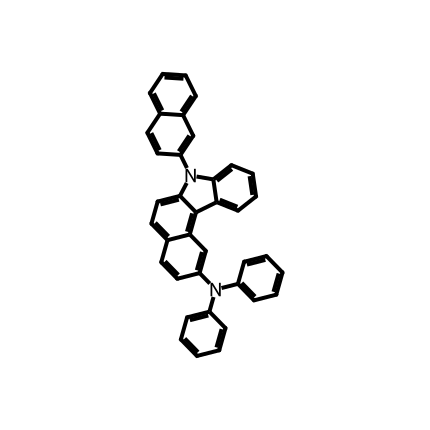 c1ccc(N(c2ccccc2)c2ccc3ccc4c(c3c2)c2ccccc2n4-c2ccc3ccccc3c2)cc1